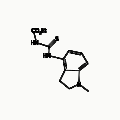 CCOC(=O)NC(=S)Nc1cccc2c1CCN2C